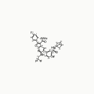 CNC(=O)c1c(-c2ccc(F)cc2)oc2nc(NCC(F)F)c(-c3ccc(F)c(C(=O)NC45CCC(C4)C5)c3)cc12